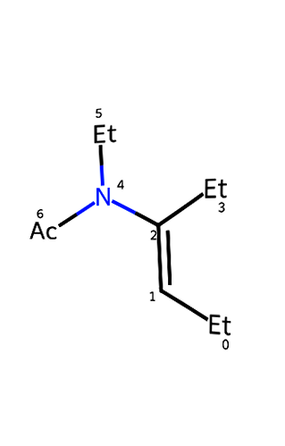 CC/C=C(\CC)N(CC)C(C)=O